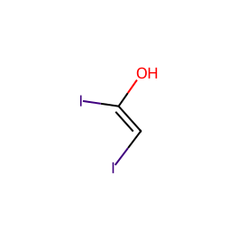 O/C(I)=C/I